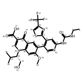 CCNC(=O)Nc1cc(-c2nc(C(F)(F)F)cs2)c(-c2cc3c(=O)c(C(=O)O)cn([C@H](CO)C(C)C)c3cc2OC)cn1